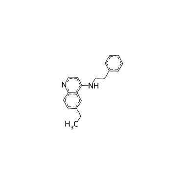 CCc1ccc2nccc(NCCc3ccccc3)c2c1